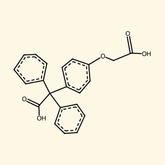 O=C(O)COc1ccc(C(C(=O)O)(c2ccccc2)c2ccccc2)cc1